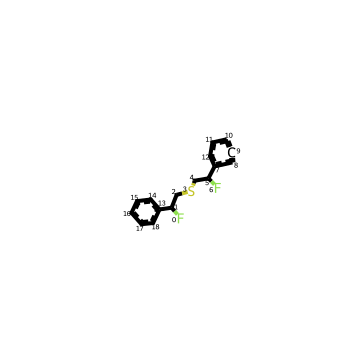 FC(CSCC(F)c1ccccc1)c1ccccc1